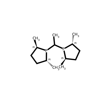 CC(P1[C@H](C)CC[C@H]1C)P1[C@H](C)CC[C@H]1C